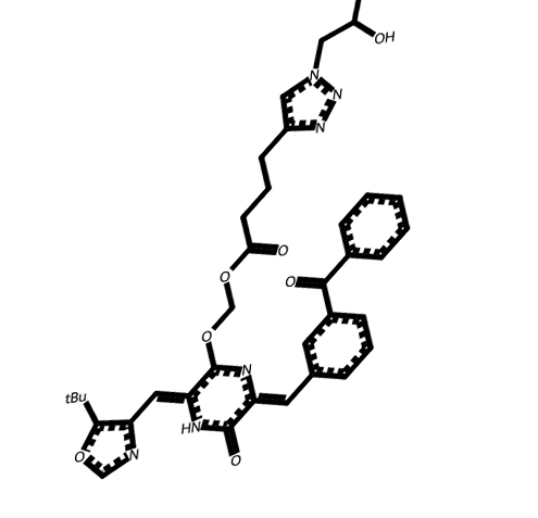 CC(C)(C)c1ocnc1/C=c1\[nH]c(=O)/c(=C/c2cccc(C(=O)c3ccccc3)c2)nc1OCOC(=O)CCCc1cn(CC(O)CC(=O)O)nn1